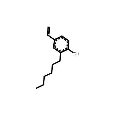 C=Cc1ccc(O)c(CCCCCC)c1